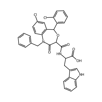 O=C(O)C(Cc1c[nH]c2ccccc12)NC(=O)C1OC(c2ccccc2Cl)c2cc(Cl)ccc2N(Cc2ccccc2)C1=O